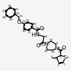 CC1C=CSC1C(=O)N1CCN(C(=O)CNC(=O)c2ccc(OCc3ccccc3)cc2)CC1